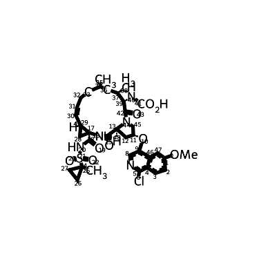 COc1ccc2c(Cl)ncc(O[C@@H]3C[C@H]4C(=O)N[C@]5(C(=O)NS(=O)(=O)C6(C)CC6)C[C@H]5/C=C\CC[C@@H](C)C[C@@H](C)[C@H](NC(=O)O)C(=O)N4C3)c2c1